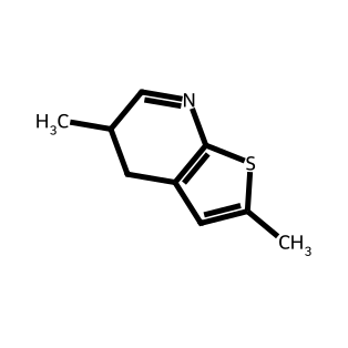 Cc1cc2c(s1)N=CC(C)C2